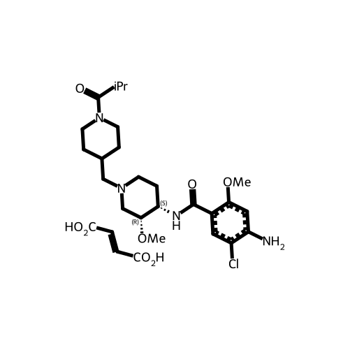 COc1cc(N)c(Cl)cc1C(=O)N[C@H]1CCN(CC2CCN(C(=O)C(C)C)CC2)C[C@H]1OC.O=C(O)C=CC(=O)O